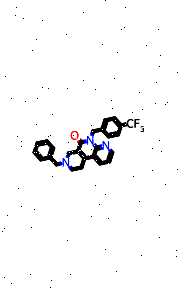 O=c1c2c(c3cccnc3n1Cc1ccc(C(F)(F)F)cc1)CCN(Cc1ccccc1)C2